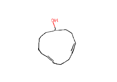 OC1CC/C=C/CC/C=C/CCC1